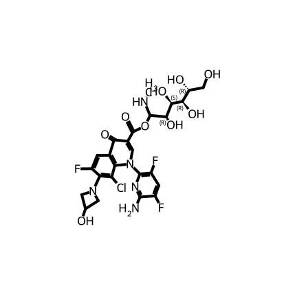 CNC(OC(=O)c1cn(-c2nc(N)c(F)cc2F)c2c(Cl)c(N3CC(O)C3)c(F)cc2c1=O)[C@H](O)[C@@H](O)[C@H](O)[C@H](O)CO